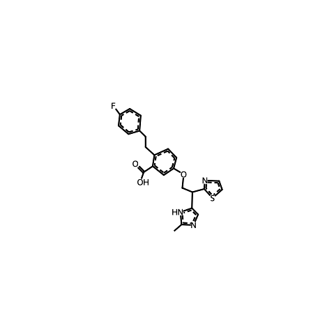 Cc1ncc(C(COc2ccc(CCc3ccc(F)cc3)c(C(=O)O)c2)c2nccs2)[nH]1